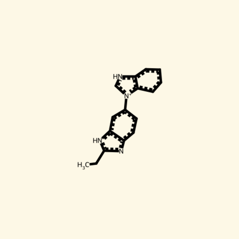 CCc1nc2ccc(-[n+]3c[nH]c4ccccc43)cc2[nH]1